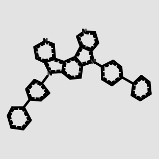 c1ccc(-c2ccc(-n3c4ccncc4c4c5c6cnccc6n(-c6ccc(-c7ccccc7)cc6)c5ccc43)cc2)cc1